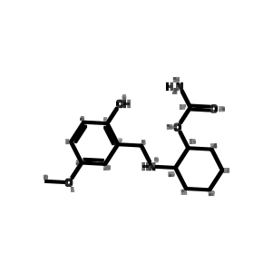 COc1ccc(O)c(CNC2CCCCC2OC(N)=O)c1